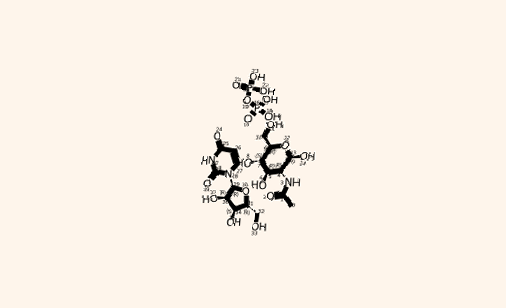 CC(=O)N[C@@H]1[C@@H](O)[C@H](O)[C@@H](CO)O[C@H]1O.O=P(O)(O)OP(=O)(O)O.O=c1ccn([C@@H]2O[C@H](CO)[C@@H](O)[C@H]2O)c(=O)[nH]1